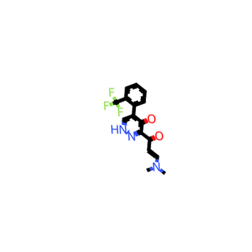 CN(C)C=CC(=O)c1n[nH]cc(-c2ccccc2C(F)(F)F)c1=O